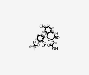 COc1c(OC(F)(F)F)cccc1[C@H]1O[C@H](CC(=O)O)C(=O)Nc2ccc(Cl)cc21